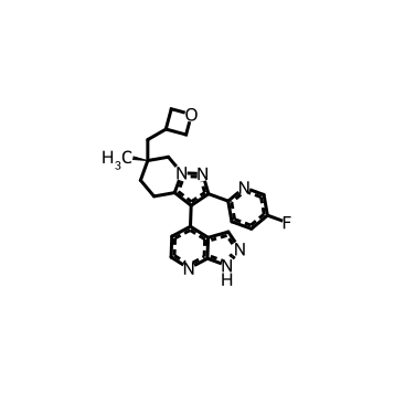 C[C@]1(CC2COC2)CCc2c(-c3ccnc4[nH]ncc34)c(-c3ccc(F)cn3)nn2C1